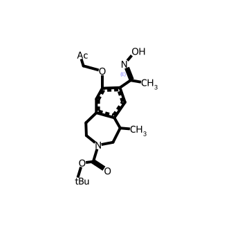 CC(=O)COc1cc2c(cc1/C(C)=N/O)C(C)CN(C(=O)OC(C)(C)C)CC2